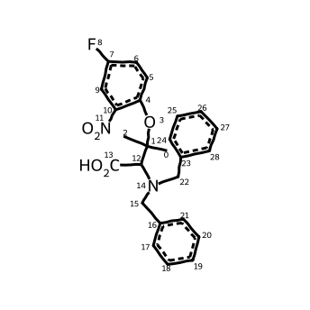 CC(C)(Oc1ccc(F)cc1[N+](=O)[O-])C(C(=O)O)N(Cc1ccccc1)Cc1ccccc1